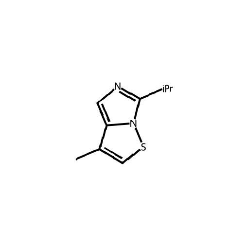 Cc1csn2c(C(C)C)ncc12